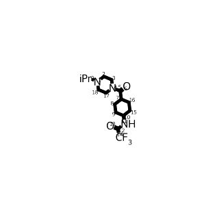 CC(C)N1CCN(C(=O)C2CCC(NC(=O)C(F)(F)F)CC2)CC1